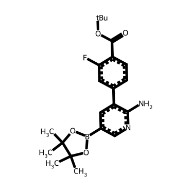 CC(C)(C)OC(=O)c1ccc(-c2cc(B3OC(C)(C)C(C)(C)O3)cnc2N)cc1F